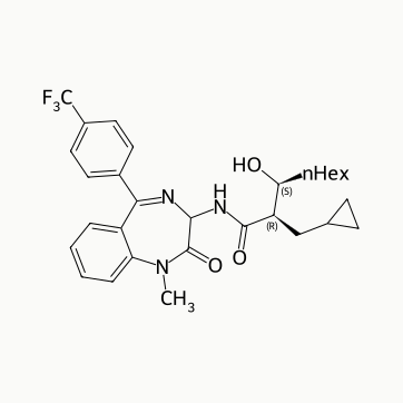 CCCCCC[C@H](O)[C@@H](CC1CC1)C(=O)NC1N=C(c2ccc(C(F)(F)F)cc2)c2ccccc2N(C)C1=O